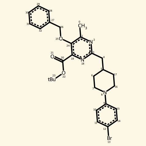 Cc1nc(CC2CCN(c3ccc(Br)cc3)CC2)nc(C(=O)OC(C)(C)C)c1OCc1ccccc1